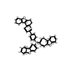 C=C(/C=C\C1=C(C)CCc2oc3c(c21)CCC=C3)c1ccc(N(C2=CCc3c(oc4ccccc34)C=C2)c2ccc3oc4ccccc4c3c2)cc1